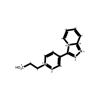 O=C(O)CC[n+]1ccc(-c2nnc3ccccn23)cn1